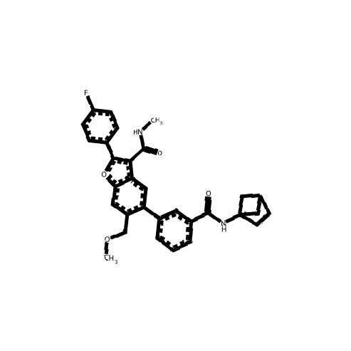 CNC(=O)c1c(-c2ccc(F)cc2)oc2cc(COC)c(-c3cccc(C(=O)NC45CCC(C4)C5)c3)cc12